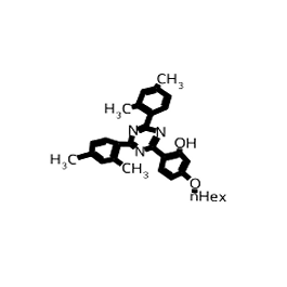 CCCCCCOc1ccc(-c2nc(-c3ccc(C)cc3C)nc(-c3ccc(C)cc3C)n2)c(O)c1